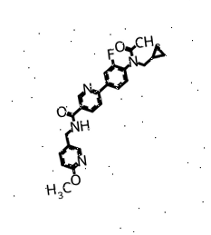 COc1ccc(CNC(=O)c2ccc(-c3ccc(N(CC4CC4)C(C)=O)c(F)c3)nc2)cn1